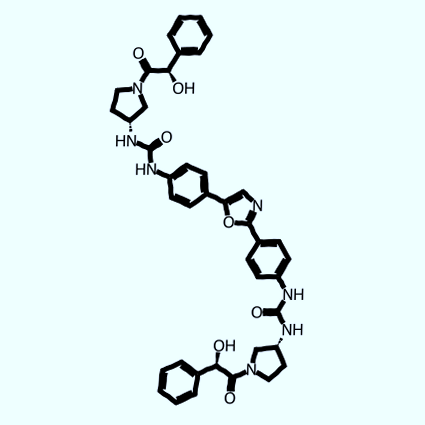 O=C(Nc1ccc(-c2cnc(-c3ccc(NC(=O)N[C@@H]4CCN(C(=O)[C@H](O)c5ccccc5)C4)cc3)o2)cc1)N[C@@H]1CCN(C(=O)[C@H](O)c2ccccc2)C1